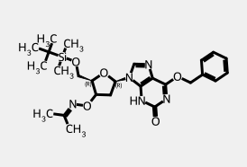 CC(C)=NOC1C[C@H](n2cnc3c(OCc4ccccc4)nc(=O)[nH]c32)O[C@@H]1CO[Si](C)(C)C(C)(C)C